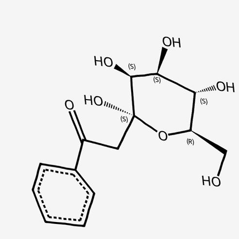 O=C(C[C@]1(O)O[C@H](CO)[C@@H](O)[C@H](O)[C@@H]1O)c1ccccc1